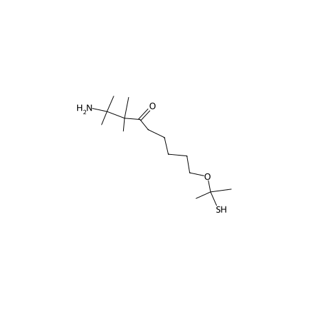 CC(C)(S)OCCCCCC(=O)C(C)(C)C(C)(C)N